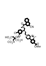 COC(=O)c1ccc(C2CCN(CC[C@H](CN(C)C(=O)c3cc(C#N)cc4ccccc34)c3ccc(Cl)c(Cl)c3)CC2)c([S@@+](C)[O-])c1.O=C(O)CC(O)(CC(=O)O)C(=O)O